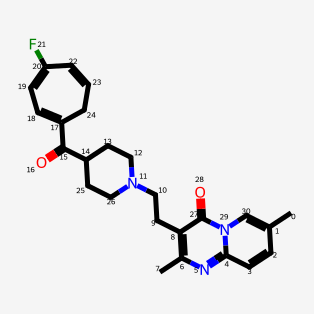 Cc1ccc2nc(C)c(CCN3CCC(C(=O)C4=CC=C(F)C=CC4)CC3)c(=O)n2c1